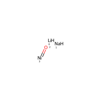 [LiH].[NaH].[O]=[Ni]